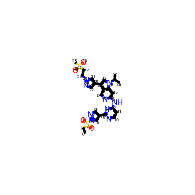 CCS(=O)(=O)n1cc(-c2nccc(Nc3cc4c(cn3)c(-c3cnn(CCS(C)(=O)=O)c3)cn4C(C)C)n2)cn1